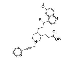 COc1ccc2nccc([C@@H](F)CCC3CCN(CC#Cc4ccccn4)CC3CCC(=O)O)c2c1